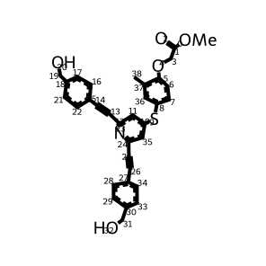 COC(=O)COc1ccc(Sc2cc(C#Cc3ccc(CO)cc3)nc(C#Cc3ccc(CO)cc3)c2)cc1C